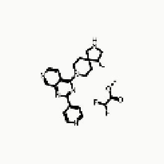 F[C@@H]1CNCC12CCN(c1nc(-c3ccncc3)nc3cnccc13)CC2.O=C(OF)C(F)F